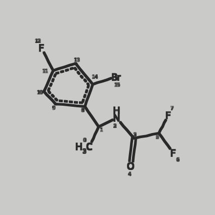 CC(NC(=O)C(F)F)c1ccc(F)cc1Br